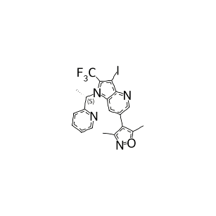 Cc1noc(C)c1-c1cnc2c(I)c(C(F)(F)F)n([C@@H](C)c3ccccn3)c2c1